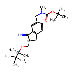 CN(Cc1ccc2c(c1)C(=N)[C@@H](CO[Si](C)(C)C(C)(C)C)C2)C(=O)OC(C)(C)C